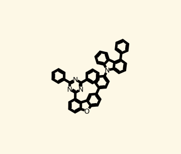 c1ccc(-c2nc(-c3ccccc3)nc(-c3cccc4oc5ccc(-c6ccc(-n7c8ccccc8c8c(-c9ccccc9)cccc87)cc6)cc5c34)n2)cc1